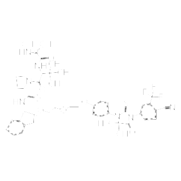 CN[C@@H](C)C(=O)N[C@H](C(=O)N1CCC[C@H]1C(=O)N[C@H]1c2ccccc2C[C@H]1OCCOCCOc1ccc(N2C(=S)N(c3ccc(C#N)c(C(F)(F)F)c3)C(=O)C2(C)C)cc1)C(C)(C)C